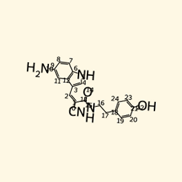 N#CC(=Cc1c[nH]c2ccc(N)cc12)C(=O)NCCc1ccc(O)cc1